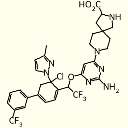 Cc1ccn(C2(Cl)CC(c3cccc(C(F)(F)F)c3)=CC=C2C(Oc2cc(N3CCC4(CC3)CNC(C(=O)O)C4)nc(N)n2)C(F)(F)F)n1